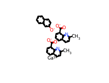 Cc1ccc2cccc(C(=O)[O-])c2n1.Cc1ccc2cccc(C(=O)[O-])c2n1.[Ga+3].[O-]c1ccc2ccccc2c1